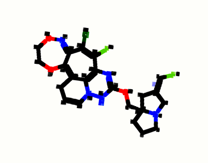 F/C=C1\CN2CCC[C@@]2(COC2=NC3=C4C(=C5OCCON=C5C(Cl)=C3F)CC=CN4N2)C1